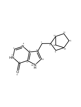 O=c1[nH]cnc2c(CC3CC4CCC3C4)c[nH]c12